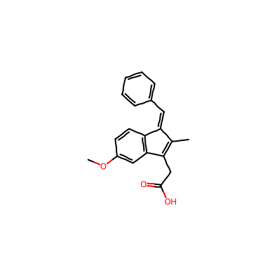 COc1ccc2c(c1)C(CC(=O)O)=C(C)/C2=C/c1ccccc1